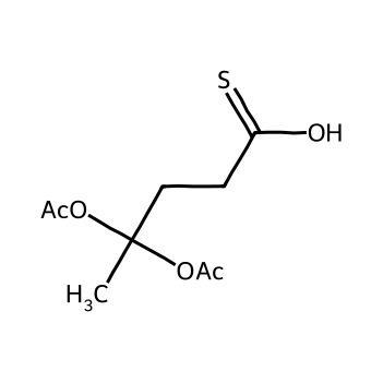 CC(=O)OC(C)(CCC(O)=S)OC(C)=O